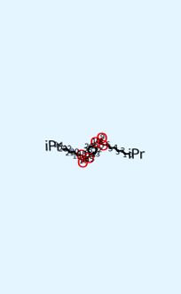 CC(C)CCCCCCOC(=O)OC1CCC(OC(=O)OCCCCCC(C)C)CC1